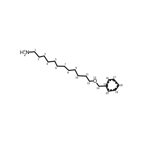 NCCCCCCCCCCCCOCc1ccccc1